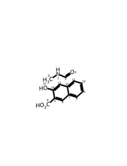 CNC=O.O=C(O)c1cc2ccccc2cc1O